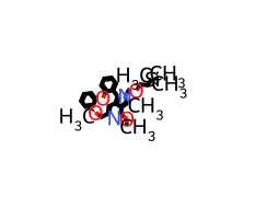 COCc1cc2c(-c3ccccc3Oc3ccccc3)n(COCC[Si](C)(C)C)c(C)c2c(OC)n1